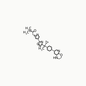 CN(C)C(=O)Cn1cc(-c2nc([C@](C)(c3ccc(-c4cnc5c(c4)NCCO5)cc3)C3CC3)no2)cn1